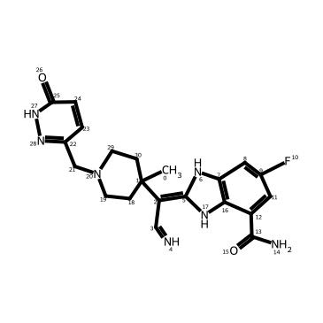 CC1(/C(C=N)=C2\Nc3cc(F)cc(C(N)=O)c3N2)CCN(Cc2ccc(=O)[nH]n2)CC1